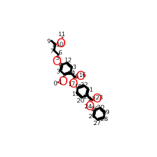 COc1cc(OCCC(C)OC)ccc1C(=O)Oc1ccc(C(=O)Oc2ccccc2)cc1